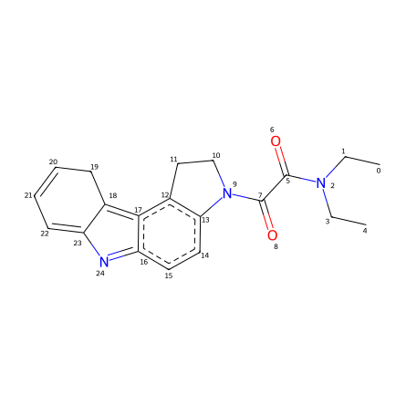 CCN(CC)C(=O)C(=O)N1CCc2c1ccc1c2=C2CC=CC=C2N=1